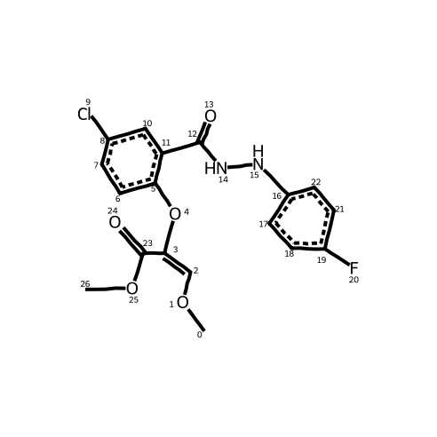 CO/C=C(/Oc1ccc(Cl)cc1C(=O)NNc1ccc(F)cc1)C(=O)OC